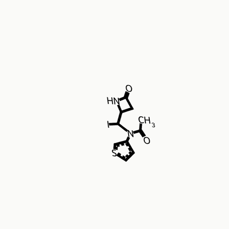 CC(=O)N(c1ccsc1)C(I)C1CC(=O)N1